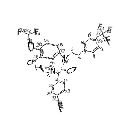 NC(C(=O)N(CCc1ccc(C(F)(F)F)cc1)c1ccc(OC(F)F)c(Cl)c1)c1ccc(F)cc1